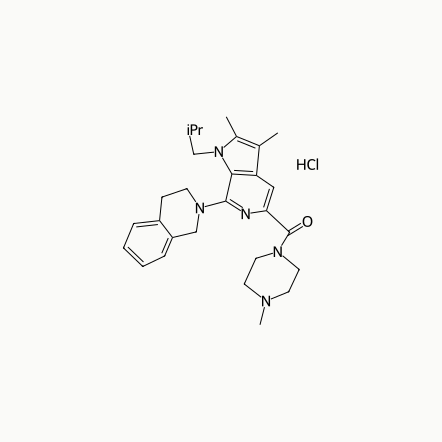 Cc1c(C)n(CC(C)C)c2c(N3CCc4ccccc4C3)nc(C(=O)N3CCN(C)CC3)cc12.Cl